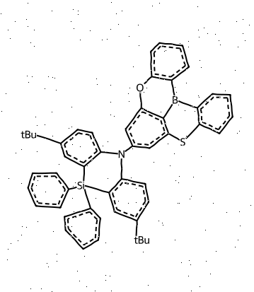 CC(C)(C)c1ccc2c(c1)[Si](c1ccccc1)(c1ccccc1)c1cc(C(C)(C)C)ccc1N2c1cc2c3c(c1)Sc1ccccc1B3c1ccccc1O2